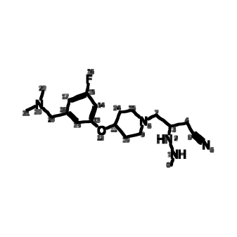 CNNC(CC#N)CN1CCC(Oc2cc(F)cc(CN(C)C)c2)CC1